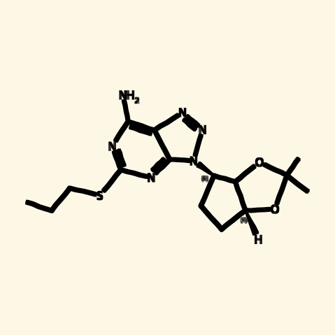 CCCSc1nc(N)c2nnn([C@@H]3CC[C@H]4OC(C)(C)OC34)c2n1